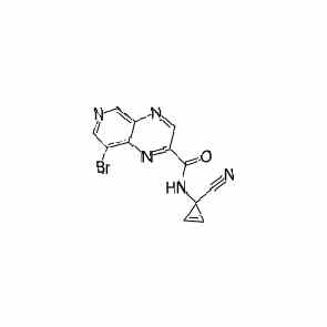 N#CC1(NC(=O)c2cnc3cncc(Br)c3n2)C=C1